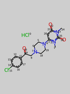 Cl.Cn1c(N2CCN(CC(=O)c3ccc(Cl)cc3)CC2)cc(=O)n(C)c1=O